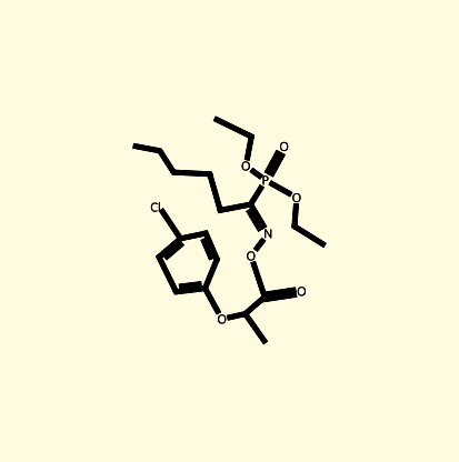 CCCCCC(=NOC(=O)C(C)Oc1ccc(Cl)cc1)P(=O)(OCC)OCC